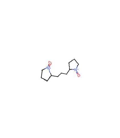 O=[N+]1CCCC1CCCC1CCC[N+]1=O